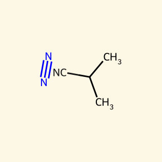 CC(C)C#N.N#N